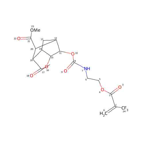 C=C(C(=O)OCCNC(=O)OC1C2CC3C1OC(=O)C3C2C(=O)OC)C(F)(F)F